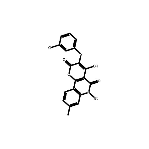 CCn1c(=O)c2c(O)c(Sc3cccc(Cl)c3)c(=O)oc2c2ccc(C)cc21